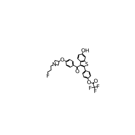 O=C(c1ccc(OC2CN(CCCF)C2)cc1)c1c(-c2ccc(OC(=O)C(F)(F)F)cc2)sc2cc(O)ccc12